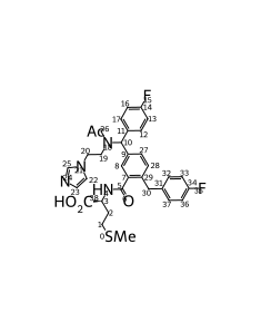 CSCC[C@H](NC(=O)c1cc(C(c2ccc(F)cc2)N(CCn2ccnc2)C(C)=O)ccc1Cc1ccc(F)cc1)C(=O)O